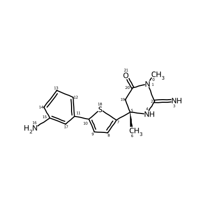 CN1C(=N)N[C@](C)(c2ccc(-c3cccc(N)c3)s2)CC1=O